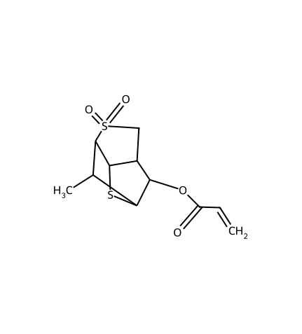 C=CC(=O)OC1C2CS(=O)(=O)C3C(C)C1SC23